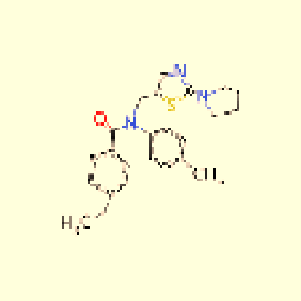 CCc1ccc(C(=O)N(Cc2cnc(N3CCCC3)s2)c2ccc(C)cc2)cc1